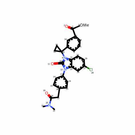 COC(=O)c1cccc(C2(n3c(=O)n(-c4ccc(CC(=O)N(C)C)cc4)c4cc(Cl)ccc43)CC2)c1